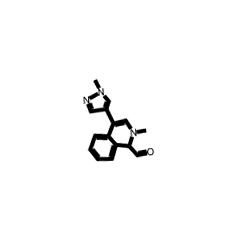 CN1C=C(c2cnn(C)c2)c2ccccc2C1C=O